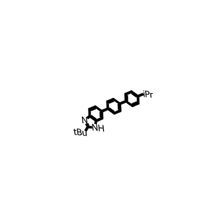 CC(C)c1ccc(-c2ccc(-c3ccc4nc(C(C)(C)C)[nH]c4c3)cc2)cc1